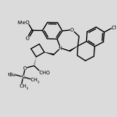 COC(=O)c1ccc2c(c1)N(C[C@@H]1CC[C@H]1C(C=O)O[Si](C)(C)C(C)(C)C)C[C@@]1(CCCc3cc(Cl)ccc31)CO2